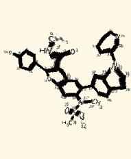 CNC(=O)c1c(-c2ccc(F)cc2)oc2cc(N(C)S(C)(=O)=O)c(-c3ccc4ccn(-c5cccnc5)c4c3)cc12